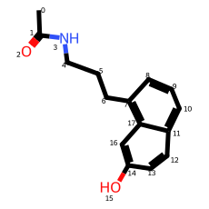 CC(=O)NCCCc1cccc2ccc(O)cc12